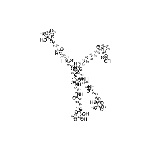 C[C@H]1OCC1OC(OCCCCC(=O)NCCCNC(=O)CCOC(COCCC(=O)NCCCNC(=O)CCCCOC1OC2COC2C(O)C1O)(NC(=O)CCCCCCCCCCC(=O)N1CCC[C@H]1COP(C)(=O)O)OCCC(=O)NCCCNC(=O)CCCCOC1OC2COC2C(O)C1O)[C@@H](O)CO